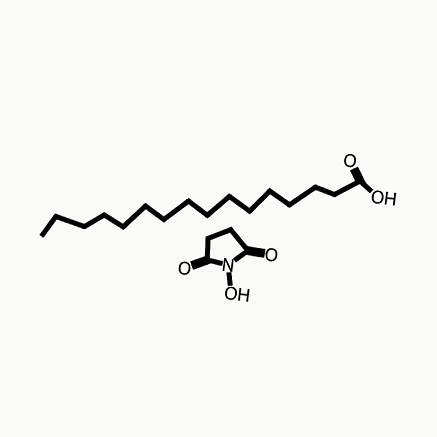 CCCCCCCCCCCCCCCC(=O)O.O=C1CCC(=O)N1O